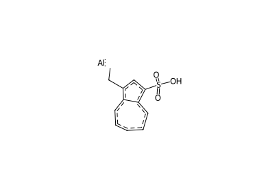 CCc1cc(S(=O)(=O)O)c2cccccc1-2.[Al]